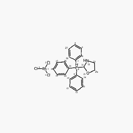 [Cl][Rh]([Cl])[Cl].c1ccc([PH](c2ccccc2)(c2ccccc2)C2NCCO2)cc1